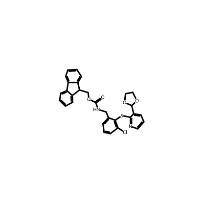 O=C(NCc1cccc(Cl)c1Sc1ncccc1C1OCCO1)OCC1c2ccccc2-c2ccccc21